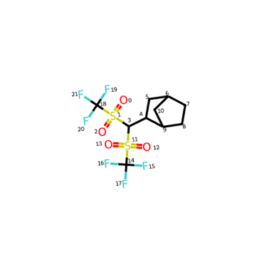 O=S(=O)(C(C1CC2CCC1C2)S(=O)(=O)C(F)(F)F)C(F)(F)F